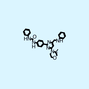 C[C@H]1COCCN1c1cc(CNc2ccccc2)nc(-c2ccc(NC(=O)Nc3ccccc3)cc2)n1